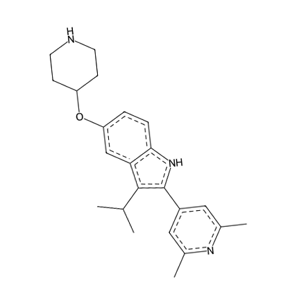 Cc1cc(-c2[nH]c3ccc(OC4CCNCC4)cc3c2C(C)C)cc(C)n1